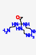 NCCNC(NCCN)(NCCN)C1CO1